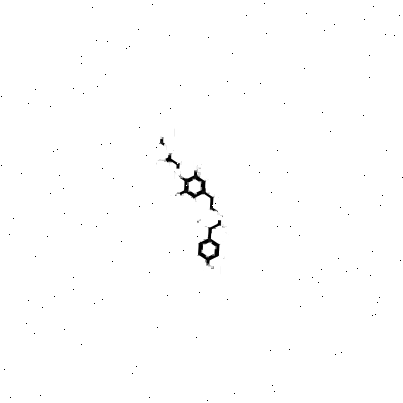 CCOC(=O)CNc1c(Br)cc(CCN[C@@H](C)[C@H](O)c2ccc(O)cc2)cc1Br